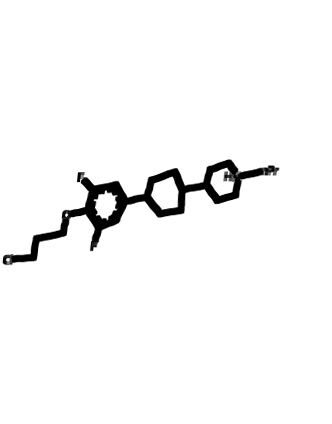 CCC[SiH]1CCC(C2CCC(c3cc(F)c(OCCCCl)c(F)c3)CC2)CC1